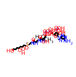 CC(C)(COP(=O)(O)OP(=O)(O)OC[C@H]1O[C@@H](n2cnc3c(N)ncnc32)[C@H](O)[C@@H]1OP(=O)(O)O)[C@@H](O)C(=O)NCCC(=O)NCCSC(=O)CC(O)CC(=O)CCCO